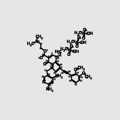 CCn1cc(C(=O)OCCN(C)C)c(=O)c2c(Cc3cnc(N)nc3N)cc(C#Cc3cccc(OC)c3OC)cc21.CS(=O)(=O)O.CS(=O)(=O)O.CS(=O)(=O)O